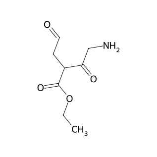 CCOC(=O)C(CC=O)C(=O)CN